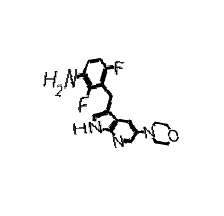 Nc1ccc(F)c(Cc2c[nH]c3ncc(N4CCOCC4)cc23)c1F